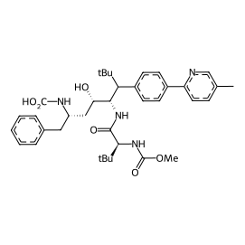 COC(=O)N[C@H](C(=O)N[C@@H](C(c1ccc(-c2ccc(C)cn2)cc1)C(C)(C)C)[C@@H](O)C[C@H](Cc1ccccc1)NC(=O)O)C(C)(C)C